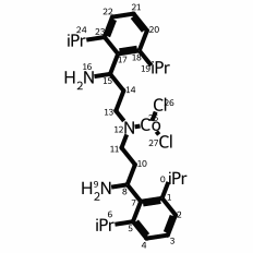 CC(C)c1cccc(C(C)C)c1C(N)CC[N](CCC(N)c1c(C(C)C)cccc1C(C)C)[Co]([Cl])[Cl]